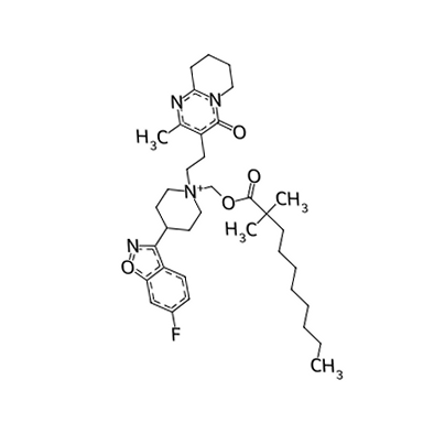 CCCCCCCCC(C)(C)C(=O)OC[N+]1(CCc2c(C)nc3n(c2=O)CCCC3)CCC(c2noc3cc(F)ccc23)CC1